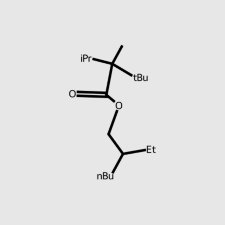 CCCCC(CC)COC(=O)C(C)(C(C)C)C(C)(C)C